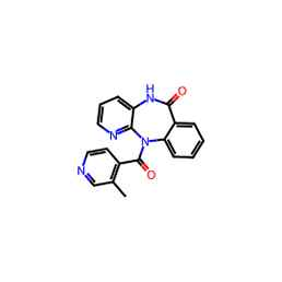 Cc1cnccc1C(=O)N1c2ccccc2C(=O)Nc2cccnc21